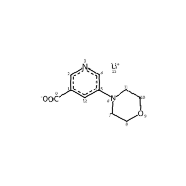 O=C([O-])c1cncc(N2CCOCC2)c1.[Li+]